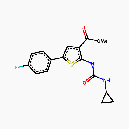 COC(=O)c1cc(-c2ccc(F)cc2)sc1NC(=O)NC1CC1